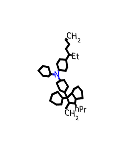 C=CCCC(CC)C1CCC(N(C2CCCCC2)C2CCC(C3(C4CCCCC4)C(C=C)C(CCC)C4CCCCC43)CC2)CC1